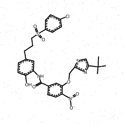 CC(C)(C)c1csc(COc2cc(C(=O)Nc3cc(CCCS(=O)(=O)c4ccc(Cl)cc4)ccc3O)ccc2[N+](=O)[O-])n1